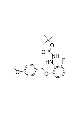 COc1ccc(COc2cccc(F)c2NNC(=O)OC(C)(C)C)cc1